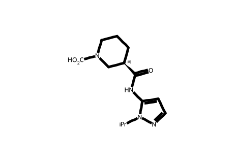 CC(C)n1nccc1NC(=O)[C@@H]1CCCN(C(=O)O)C1